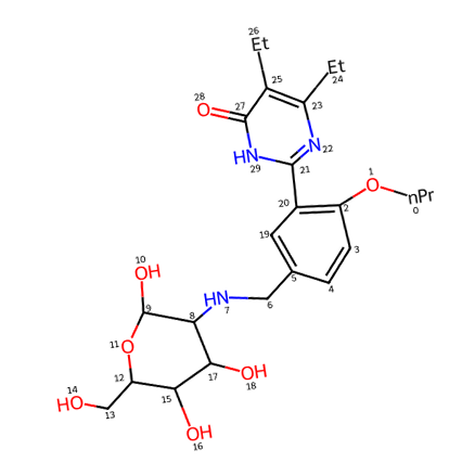 CCCOc1ccc(CNC2C(O)OC(CO)C(O)C2O)cc1-c1nc(CC)c(CC)c(=O)[nH]1